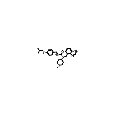 CC(C)COc1ccc(CNC(=O)N(Cc2cccc3[nH]cnc23)C2CCN(C)CC2)cc1